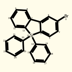 Brc1ccc2c(c1)-c1ccccc1[Si]2(c1ccccc1)c1ccccc1